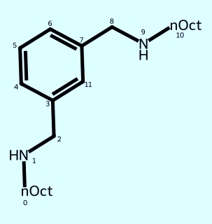 CCCCCCCCNCc1cccc(CNCCCCCCCC)c1